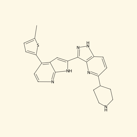 Cc1ccc(-c2ccnc3[nH]c(-c4n[nH]c5ccc(C6CCNCC6)nc45)cc23)s1